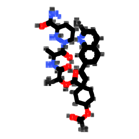 CCC(=O)OC1CCC(/C=C/c2ccc3ccc(CC)nc3c2)(C(=O)OC(C(=O)NC(C)C(=O)N2CCCC(C(N)=O)N2)C(C)C)CC1